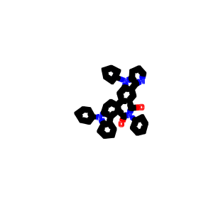 O=c1c2cc3c4ncccc4n(-c4ccccc4)c3cc2c2ccc3c(c4ccccc4n3-c3ccccc3)c2c(=O)n1-c1ccccc1